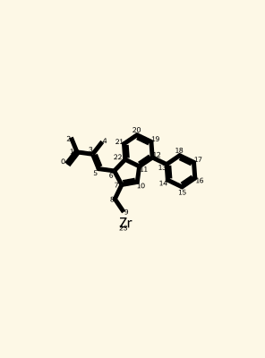 C=C(C)C(C)=CC1C(CC)=Cc2c(-c3ccccc3)cccc21.[Zr]